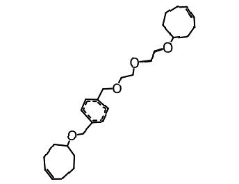 C1=C\CCC(OCCOCCOCc2ccc(COC3CC/C=C\CCC3)cc2)CCC/1